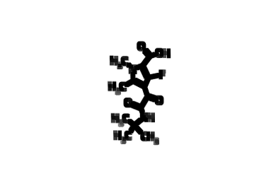 Cc1c(C(=O)C(=O)NC(C)(C)C)c(F)c(C(=O)O)n1C